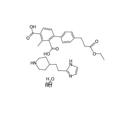 CCOC(=O)CCc1ccc(-c2ccc(C(=O)O)c(C)c2C(=O)O)cc1.Cl.Cl.O.c1c[nH]c(CCC2CCNCC2)n1